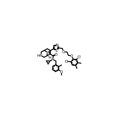 COc1cccc(CN(C(=O)C2=C(c3cnc(COCCOc4c(Cl)cc(C)c(C)c4Cl)s3)CC3CNC[C@H]2N3)C2CC2)c1C